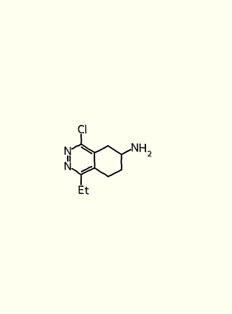 CCc1nnc(Cl)c2c1CCC(N)C2